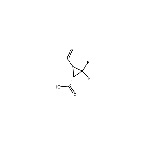 C=CC1[C@@H](C(=O)O)C1(F)F